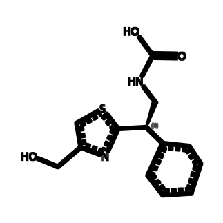 O=C(O)NC[C@@H](c1ccccc1)c1nc(CO)cs1